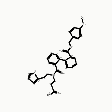 COc1ccc(CNC(=O)c2ccccc2-c2ccccc2C(=O)N(CCC(=O)O)CCc2cccs2)cc1